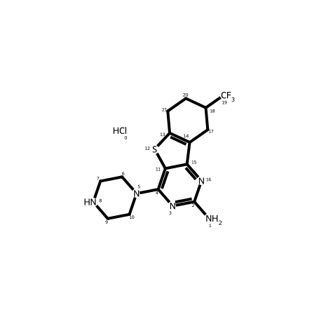 Cl.Nc1nc(N2CCNCC2)c2sc3c(c2n1)CC(C(F)(F)F)CC3